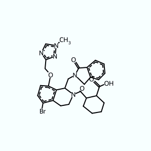 Cn1cnc(COc2ccc(Br)c3c2C(CN2Cc4ccccc4C2=O)N(C(=O)C2CCCCC2C(=O)O)CC3)n1